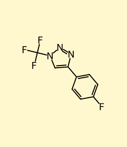 Fc1ccc(-c2cn(C(F)(F)F)nn2)cc1